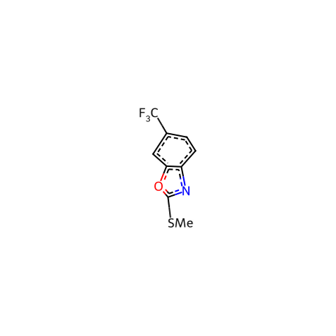 CSc1nc2ccc(C(F)(F)F)cc2o1